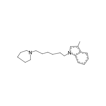 Cc1cn(CCCCCCN2CCCCC2)c2ccccc12